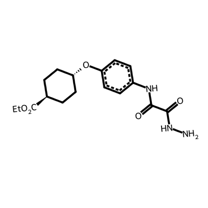 CCOC(=O)[C@H]1CC[C@H](Oc2ccc(NC(=O)C(=O)NN)cc2)CC1